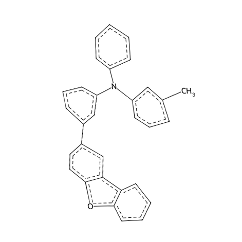 Cc1cccc(N(c2ccccc2)c2cccc(-c3ccc4oc5ccccc5c4c3)c2)c1